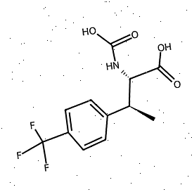 C[C@@H](c1ccc(C(F)(F)F)cc1)[C@H](NC(=O)O)C(=O)O